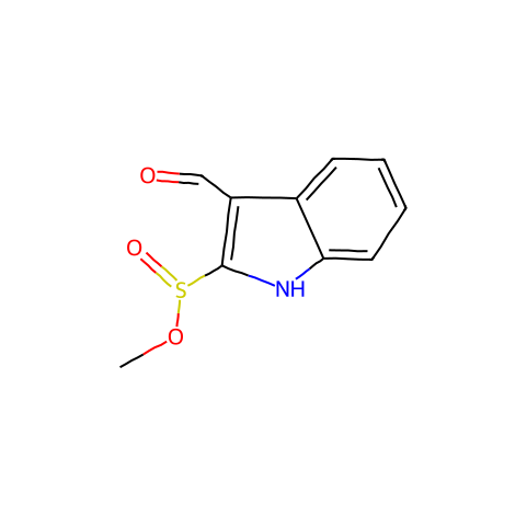 COS(=O)c1[nH]c2ccccc2c1C=O